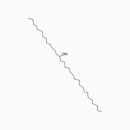 CCCCCCCCCCCCCCCCCCC(O)CCCCCCCCCCCCC